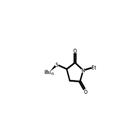 CC[C@H](C)SC1CC(=O)N(CC)C1=O